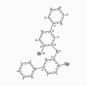 Brc1ccc(-c2ccccc2)cc1Sc1cc(-c2ccccc2)ccc1Br